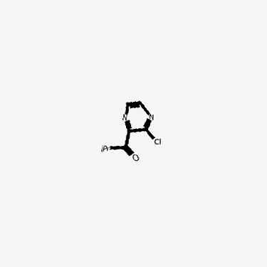 CC(C)C(=O)c1nccnc1Cl